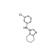 Clc1cccc(Nn2cnc3c2CCCC3)c1